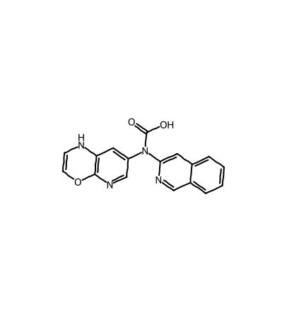 O=C(O)N(c1cnc2c(c1)NC=CO2)c1cc2ccccc2cn1